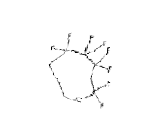 FC1(F)CCCCC(F)(F)C(F)(F)C1(F)F